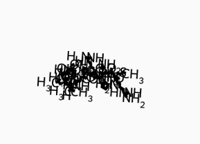 CSCC[C@H](NC(=O)[C@@H](N)CCCNC(=N)N)C(=O)N[C@@H](CC(N)=O)C(=O)N[C@@H](Cc1ccccc1)C(=O)N[C@@H](CCCNC(=N)N)C(=O)N1CCC[C@H]1C(=O)NCC(=O)N[C@H](C(=O)N[C@@H](CC(C)C)C(=O)N[C@@H](CO)C(=O)N[C@@H](CO)C(=O)O)C(C)C